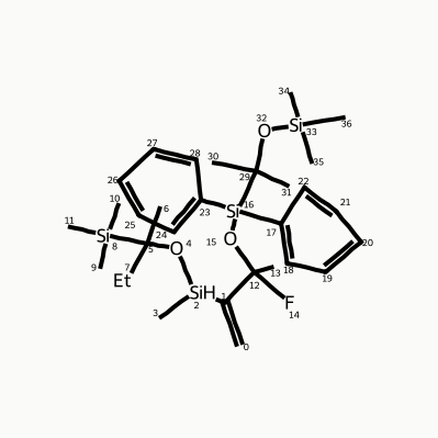 C=C([SiH](C)OC(C)(CC)[Si](C)(C)C)C(C)(F)O[Si](c1ccccc1)(c1ccccc1)C(C)(C)O[Si](C)(C)C